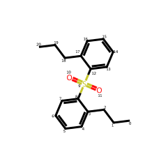 CCCc1ccccc1S(=O)(=O)c1ccccc1CCC